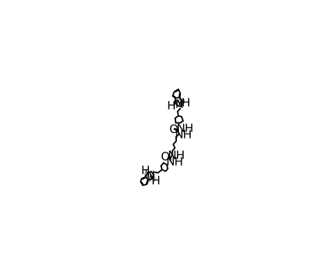 O=C(NCCCCCNC(=O)NC1CCC(CCN2[C@@H]3CC[C@H]2c2ccccc23)CC1)NC1CCC(CCN2[C@@H]3CC[C@H]2c2ccccc23)CC1